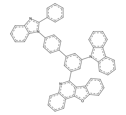 c1ccc(-c2nc3ccccc3n2-c2ccc(-c3cc(-c4nc5ccccc5c5oc6ccccc6c45)cc(-n4c5ccccc5c5ccccc54)c3)cc2)cc1